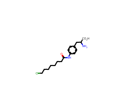 NC(Cc1ccc(NC(=O)CCCCCCCCl)cc1)C(=O)O